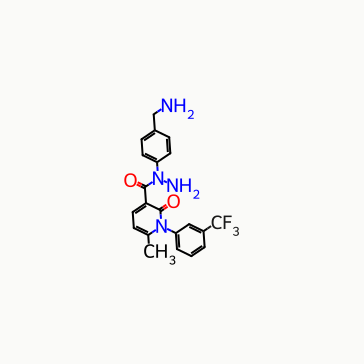 Cc1ccc(C(=O)N(N)c2ccc(CN)cc2)c(=O)n1-c1cccc(C(F)(F)F)c1